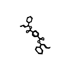 CC=CC(OC(=O)c1ccc(C(=O)OC(C=CC)C2CCCCC2)cc1)C1CCCCC1